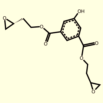 O=C(OCCC1CO1)c1cc(O)cc(C(=O)OCC[C@@H]2CO2)c1